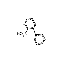 O=S(=O)(O)c1[c]cccc1-c1ccccc1